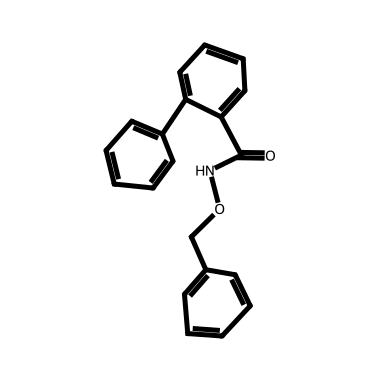 O=C(NOCc1ccccc1)c1ccccc1-c1ccccc1